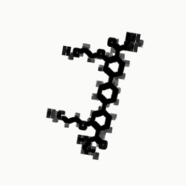 CCCOc1cc(-c2ccc(-c3ccc(C(=O)NN)c(OCCC)c3)cc2)ccc1C(=O)NN